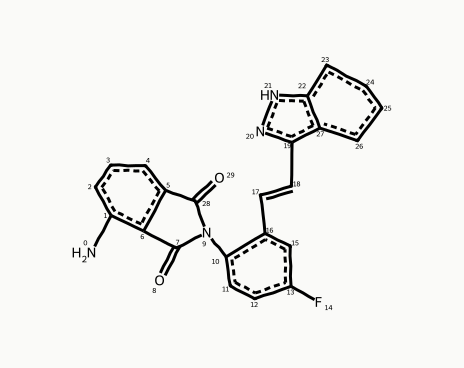 Nc1cccc2c1C(=O)N(c1ccc(F)cc1C=Cc1n[nH]c3ccccc13)C2=O